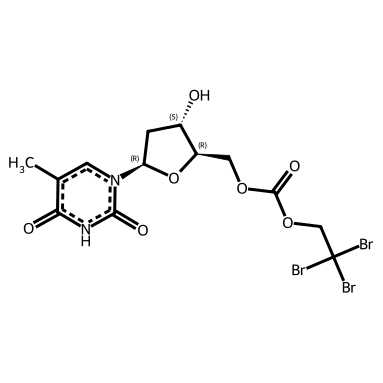 Cc1cn([C@H]2C[C@H](O)[C@@H](COC(=O)OCC(Br)(Br)Br)O2)c(=O)[nH]c1=O